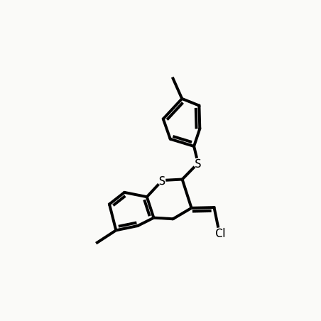 Cc1ccc(SC2Sc3ccc(C)cc3C/C2=C\Cl)cc1